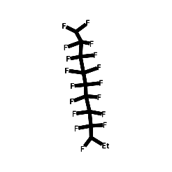 CCC(F)C(F)(F)C(F)(F)C(F)(F)C(F)(F)C(F)(F)C(F)(F)C(F)(F)[C](F)F